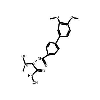 COc1ccc(-c2ccc(C(=O)N[C@H](C(=O)NO)[C@@H](C)O)cc2)cc1OC